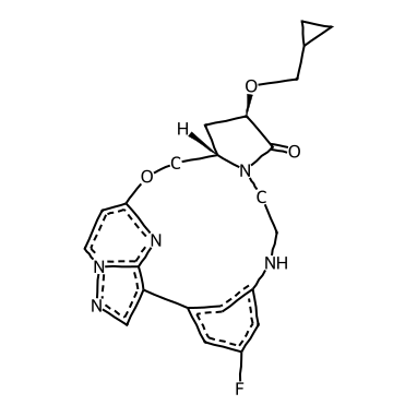 O=C1[C@H](OCC2CC2)C[C@H]2COc3ccn4ncc(c4n3)-c3cc(F)cc(c3)NCCN12